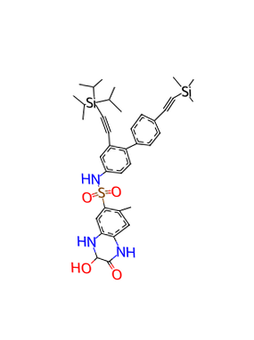 Cc1cc2c(cc1S(=O)(=O)Nc1ccc(-c3ccc(C#C[Si](C)(C)C)cc3)c(C#C[Si](C(C)C)(C(C)C)C(C)C)c1)NC(O)C(=O)N2